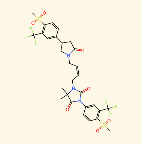 CC1(C)C(=O)N(c2ccc(S(C)(=O)=O)c(C(F)(F)F)c2)C(=O)N1C/C=C\CN1CC(c2ccc(S(C)(=O)=O)c(C(F)(F)F)c2)CC1=O